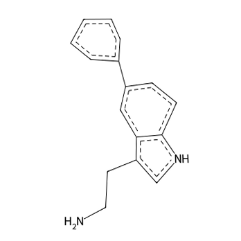 NCCc1c[nH]c2ccc(-c3ccccc3)cc12